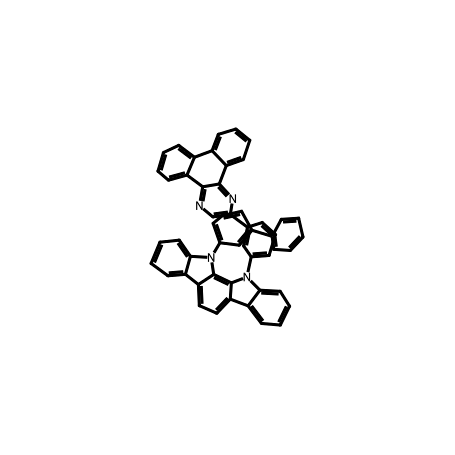 c1ccc(-c2cccc(-n3c4ccccc4c4ccc5c6ccccc6n(-c6cccc(-c7cnc8c9ccccc9c9ccccc9c8n7)c6)c5c43)c2)cc1